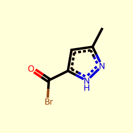 Cc1cc(C(=O)Br)[nH]n1